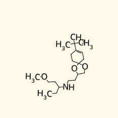 CCC(CCOC)NCCC1COC2(CC=C(C(C)(C)C)CC2)O1